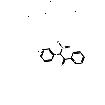 O=C(c1ccccc1)C(c1ccccc1)[N+](=O)[O-]